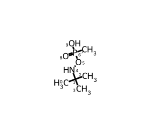 CC(C)(C)NOP(C)(=O)O